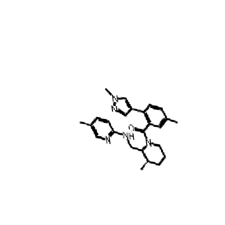 Cc1ccc(NCC2[C@H](C)CCCN2C(=O)c2cc(C)ccc2-c2cnn(C)c2)nc1